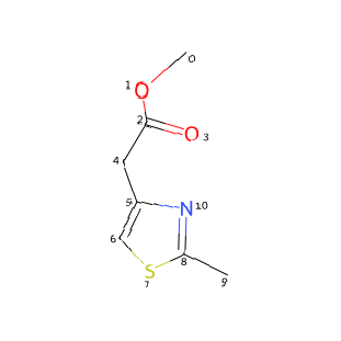 COC(=O)Cc1csc(C)n1